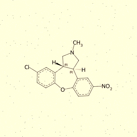 CN1C[C@H]2c3cc(Cl)ccc3Oc3ccc([N+](=O)[O-])cc3[C@@H]2C1